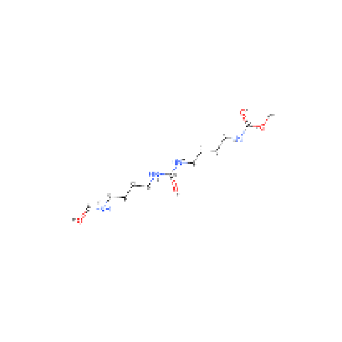 COC(=O)NCCCCNC(=O)NCCCCNC=O